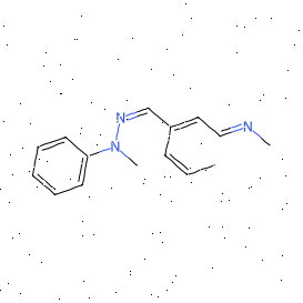 C\C=C/C(/C=N\N(C)c1ccccc1)=C\C=N\C